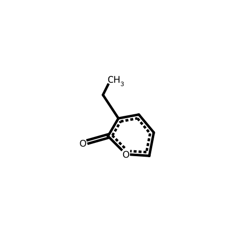 CCc1cccoc1=O